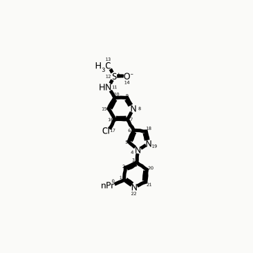 CCCc1cc(-n2cc(-c3ncc(N[S+](C)[O-])cc3Cl)cn2)ccn1